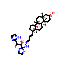 C[C@]12CC[C@H](O)C[C@H]1CC[C@@H]1[C@@H]2CC[C@]2(C)[C@@H](/C=C/C=N/NC3(C(O)C(=O)c4ncc[nH]4)N=CC=N3)CC[C@]12O